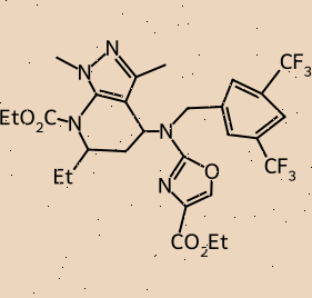 CCOC(=O)c1coc(N(Cc2cc(C(F)(F)F)cc(C(F)(F)F)c2)C2CC(CC)N(C(=O)OCC)c3c2c(C)nn3C)n1